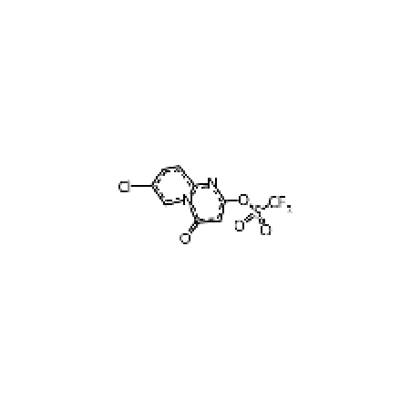 O=c1cc(OS(=O)(=O)C(F)(F)F)nc2ccc(Cl)cn12